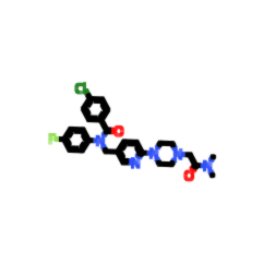 CN(C)C(=O)CN1CCN(c2ccc(CN(C(=O)c3ccc(Cl)cc3)c3ccc(F)cc3)cn2)CC1